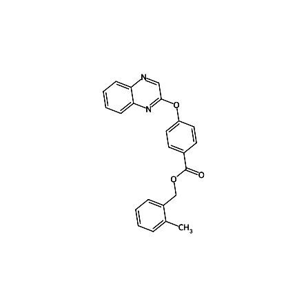 Cc1ccccc1COC(=O)c1ccc(Oc2cnc3ccccc3n2)cc1